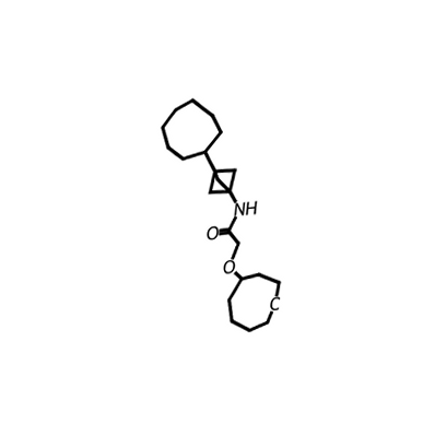 O=C(COC1CCCCCCC1)NC12CC(C3CCCCCCC3)(C1)C2